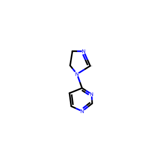 [C]1=NCCN1c1ccncn1